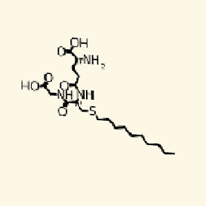 CCCCCCCCCCSC[C@H](NC(=O)CC[C@H](N)C(=O)O)C(=O)NCC(=O)O